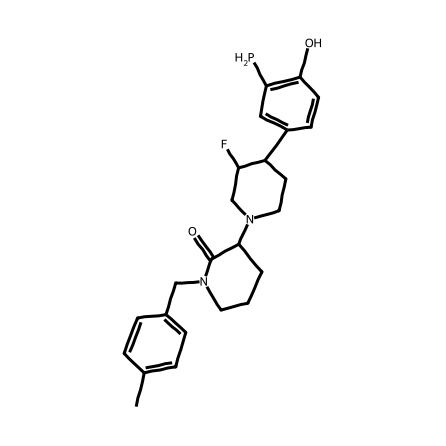 Cc1ccc(CN2CCCC(N3CCC(c4ccc(O)c(P)c4)C(F)C3)C2=O)cc1